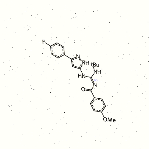 COc1ccc(C(=O)/N=C(\Nc2cc(-c3ccc(F)cc3)n[nH]2)NC(C)(C)C)cc1